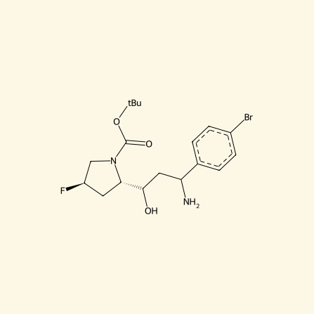 CC(C)(C)OC(=O)N1C[C@H](F)C[C@H]1C(O)CC(N)c1ccc(Br)cc1